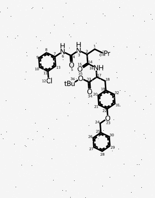 CC(C)CC(NC(=O)Nc1cccc(Cl)c1)C(=O)NC(Cc1ccc(OCc2ccccc2)cc1)C(=O)OC(C)(C)C